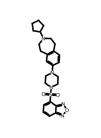 O=S(=O)(c1cccc2nonc12)N1CCN(c2ccc3c(c2)CCN(C2CCCC2)CC3)CC1